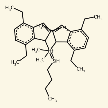 CCCC[SiH]=[Hf]([CH3])([CH3])([CH]1C(C)=Cc2c(CC)ccc(CC)c21)[CH]1C(C)=Cc2c(CC)ccc(CC)c21